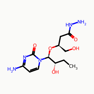 CC[C@H](O)[C@H](O[C@H](CO)CC(=O)NN)n1ccc(N)nc1=O